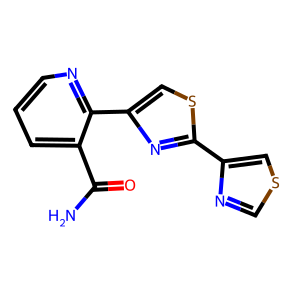 NC(=O)c1cccnc1-c1csc(-c2cscn2)n1